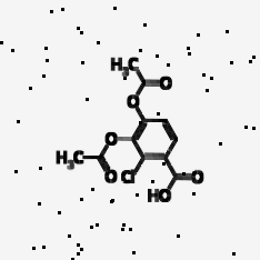 CC(=O)Oc1ccc(C(=O)O)c(Cl)c1OC(C)=O